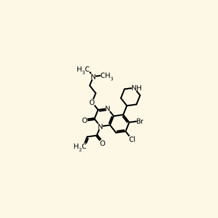 C=CC(=O)n1c(=O)c(OCCN(C)C)nc2c(C3CCNCC3)c(Br)c(Cl)cc21